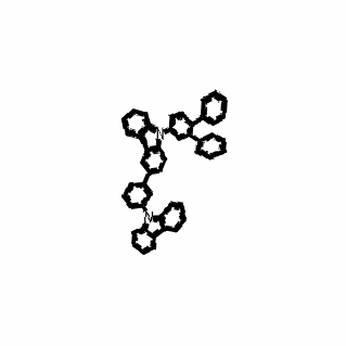 c1ccc(-c2ccc(-n3c4ccccc4c4cc(-c5cccc(-n6c7ccccc7c7ccccc76)c5)ccc43)cc2-c2ccccc2)cc1